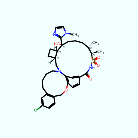 C[C@@H]1[C@@H](C)CCC[C@](O)(c2nccn2C)[C@@H]2CC[C@H]2CN2CCCCc3cc(Cl)ccc3COc3ccc(cc32)C(=O)NS1(=O)=O